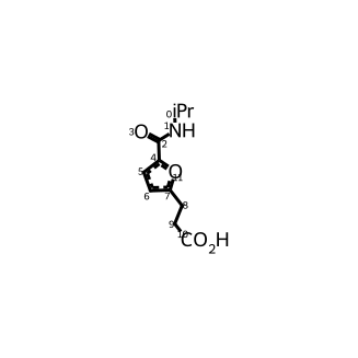 CC(C)NC(=O)c1ccc(CCC(=O)O)o1